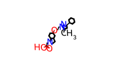 Cc1cc(-c2ccccc2)nn1CCOc1ccc2c(ccn2CC(=O)O)c1